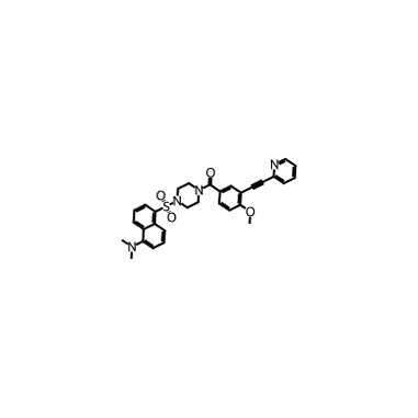 COc1ccc(C(=O)N2CCN(S(=O)(=O)c3cccc4c(N(C)C)cccc34)CC2)cc1C#Cc1ccccn1